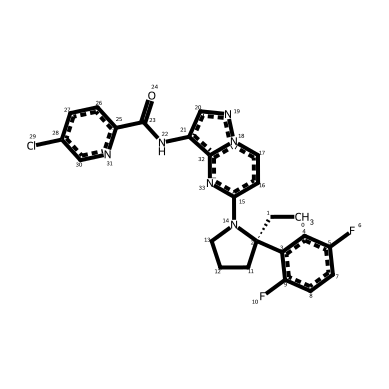 CC[C@]1(c2cc(F)ccc2F)CCCN1c1ccn2ncc(NC(=O)c3ccc(Cl)cn3)c2n1